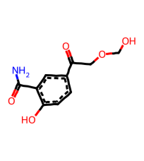 NC(=O)c1cc(C(=O)COCO)ccc1O